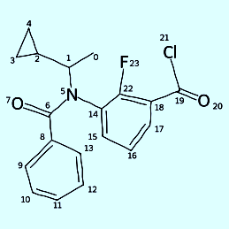 CC(C1CC1)N(C(=O)c1ccccc1)c1cccc(C(=O)Cl)c1F